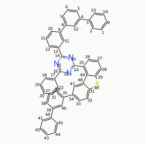 c1ccc(-c2cccc(-c3cccc(-c4nc(-c5ccccc5)nc(-c5cccc6sc7ccc(-c8cccc(-c9ccccc9)c8)cc7c56)n4)c3)c2)cc1